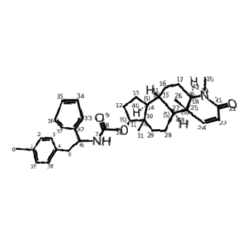 Cc1ccc(CC(NC(=O)O[C@H]2CC[C@H]3[C@@H]4CC[C@H]5N(C)C(=O)C=C[C@]5(C)[C@H]4CC[C@]23C)c2ccccc2)cc1